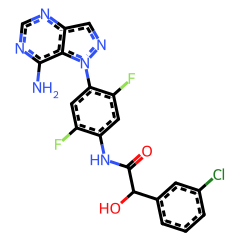 Nc1ncnc2cnn(-c3cc(F)c(NC(=O)C(O)c4cccc(Cl)c4)cc3F)c12